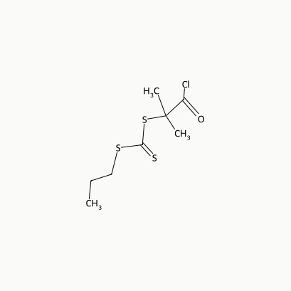 CCCSC(=S)SC(C)(C)C(=O)Cl